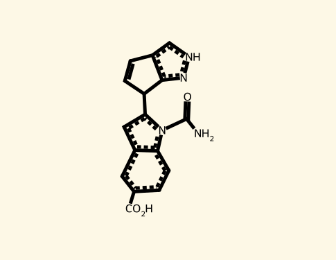 NC(=O)n1c(C2C=Cc3c[nH]nc32)cc2cc(C(=O)O)ccc21